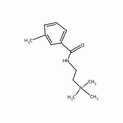 Cc1cccc(C(=O)NCC[N+](C)(C)C)c1